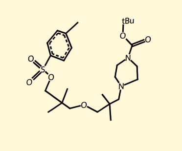 Cc1ccc(S(=O)(=O)OCC(C)(C)COCC(C)(C)CN2CCN(C(=O)OC(C)(C)C)CC2)cc1